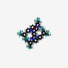 Cc1cc(-c2ccc3c4ccc(-c5cc(C(F)(F)F)cc(C(F)(F)F)c5)cc4n(-c4cc(C#N)c(-n5c6cc(-c7cc(C(F)(F)F)cc(C(F)(F)F)c7)ccc6c6ccc(-c7cc(C(F)(F)F)cc(C(F)(F)F)c7)cc65)cc4-c4ccncc4)c3c2)cc(C(F)(F)F)c1